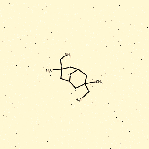 CC1(CN)CC2CC(C1)CC(C)(CN)C2